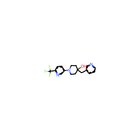 OC1(Cc2cccnc2)CCN(c2ccc(C(F)(F)F)nc2)CC1